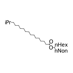 CCCCCCCCCC(CCCCCC)OC(=O)CCCCCCCCCCCCCCC(C)C